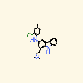 Cc1ccc(Nc2cc(CCN(C)C)c3[nH]c4ccccc4c3c2)c(Cl)c1